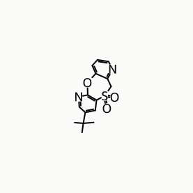 CC(C)(C)c1cnc2c(c1)S(=O)(=O)Cc1ncccc1O2